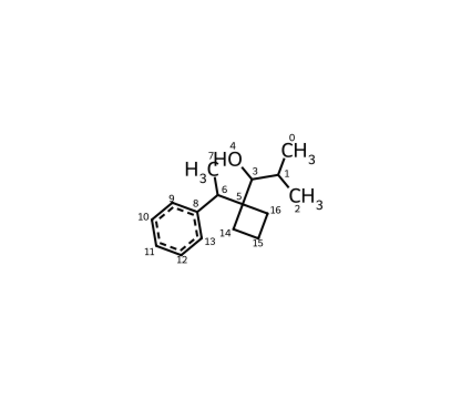 CC(C)C(O)C1(C(C)c2ccccc2)CCC1